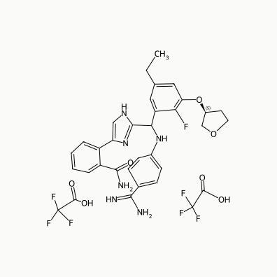 CCc1cc(O[C@H]2CCOC2)c(F)c(C(Nc2ccc(C(=N)N)cc2)c2nc(-c3ccccc3C(N)=O)c[nH]2)c1.O=C(O)C(F)(F)F.O=C(O)C(F)(F)F